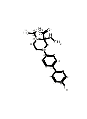 CNC1(C(C)=O)CN(c2ccc(-c3ccc(F)cc3)cc2)CCN1C(=O)O